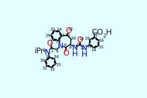 CC(C)N(C(=O)CN1C(=O)C(NC(=O)Nc2cccc(C(=O)O)c2)CC(=O)c2ccccc21)c1ccccc1